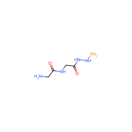 NCC(=O)NCC(=O)NNP